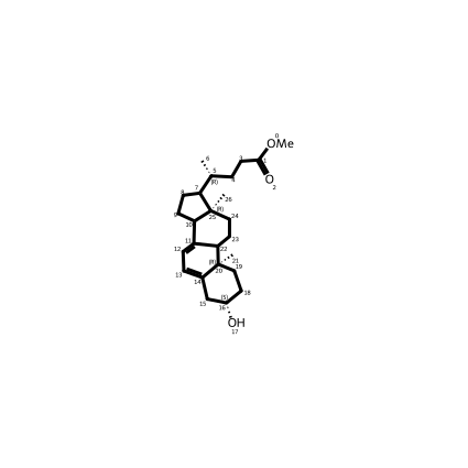 COC(=O)CC[C@@H](C)C1CCC2C3=CC=C4C[C@@H](O)CC[C@]4(C)C3CC[C@@]21C